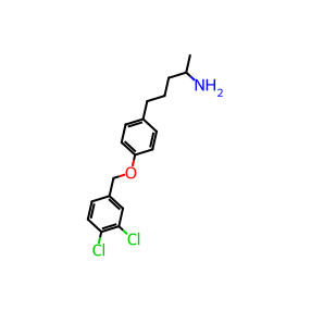 CC(N)CCCc1ccc(OCc2ccc(Cl)c(Cl)c2)cc1